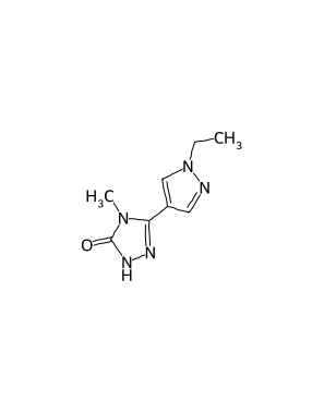 CCn1cc(-c2n[nH]c(=O)n2C)cn1